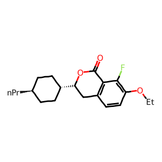 CCC[C@H]1CC[C@H](C2Cc3ccc(OCC)c(F)c3C(=O)O2)CC1